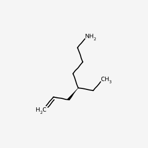 C=CC[C@H](CC)CCCN